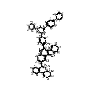 c1ccc(-c2ccc(-c3cc(-c4ccccc4)nc(-c4ccc(-c5nc6ccc(-c7cc8ccccc8c8ccccc78)cc6c6oc7ccccc7c56)cc4)n3)cc2)cc1